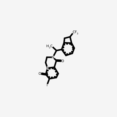 CC(c1cccc2c1CC2C(F)(F)F)N1CCn2c(ccc(I)c2=O)C1=O